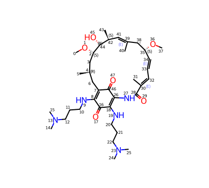 CO[C@H]1C[C@H](C)CC2=C(NCCCN(C)C)C(=O)C(NCCCN(C)C)=C(NC(=O)/C(C)=C/C=C/[C@@H](OC)[CH]/C(C)=C/[C@H](C)[C@H]1O)C2=O